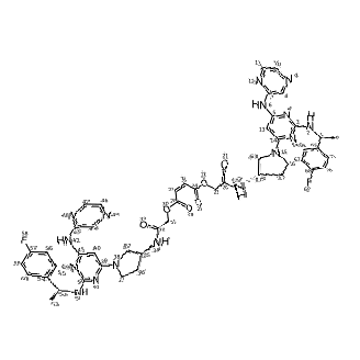 C[C@H](Nc1nc(Nc2cnccn2)cc(N2CC[C@H](NC(=O)COC(=O)/C=C\C(=O)OCC(=O)N[C@H]3CCN(c4cc(Nc5cnccn5)nc(N[C@@H](C)c5ccc(F)cc5)n4)C3)C2)n1)c1ccc(F)cc1